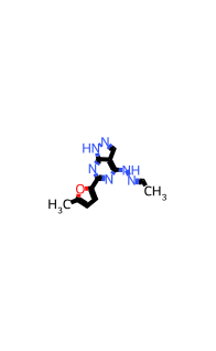 C/C=N/Nc1nc(-c2ccc(C)o2)nc2[nH]ncc12